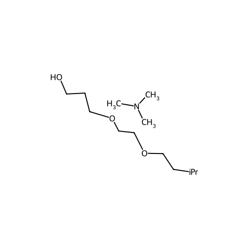 CC(C)CCOCCOCCCO.CN(C)C